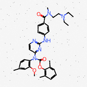 CCN(CC)CCN(C)C(=O)c1ccc(Nc2nccc(N(C(=O)Oc3c(C)cccc3C)c3ccc(C)cc3OC)n2)cc1